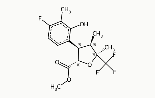 COC(=O)[C@H]1O[C@](C)(C(F)(F)F)[C@H](C)[C@@H]1c1ccc(F)c(C)c1O